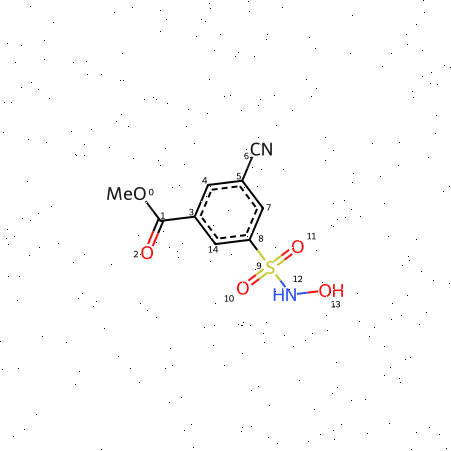 COC(=O)c1cc(C#N)cc(S(=O)(=O)NO)c1